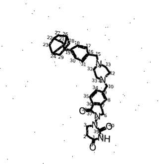 O=C1CCN(N2Cc3cc(CN4CCN(Cc5ccc(C67CC8CC(CC(C8)C6)C7)cc5)CC4)ccc3C2=O)C(=O)N1